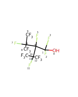 OC(F)(F)C(F)(C(F)(C(F)(F)F)C(F)(F)F)C(F)(C(F)(F)F)C(F)(F)F